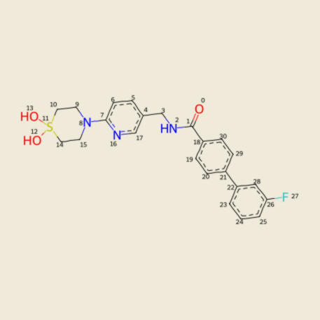 O=C(NCc1ccc(N2CCS(O)(O)CC2)nc1)c1ccc(-c2cccc(F)c2)cc1